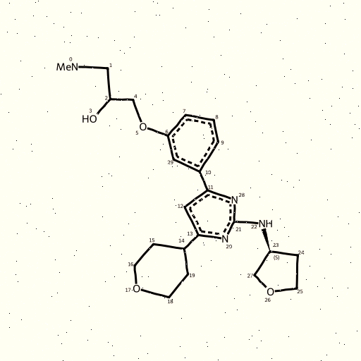 CNCC(O)COc1cccc(-c2cc(C3CCOCC3)nc(N[C@H]3CCOC3)n2)c1